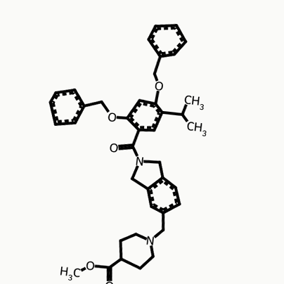 COC(=O)C1CCN(Cc2ccc3c(c2)CN(C(=O)c2cc(C(C)C)c(OCc4ccccc4)cc2OCc2ccccc2)C3)CC1